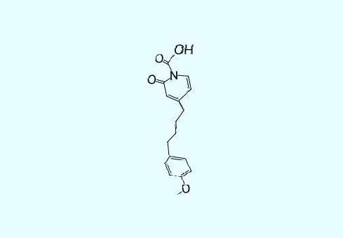 COc1ccc(CCCCc2ccn(C(=O)O)c(=O)c2)cc1